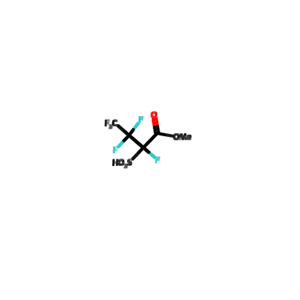 COC(=O)C(F)(C(F)(F)C(F)(F)F)S(=O)(=O)O